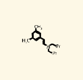 Cc1cc(C)cc(/C=[CH]/[Al]([CH2]C(C)C)[CH2]C(C)C)c1